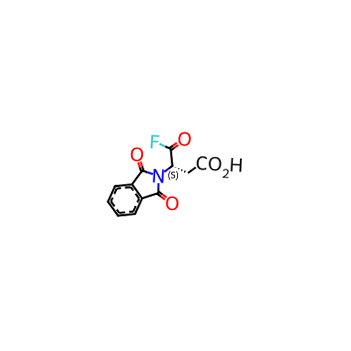 O=C(O)C[C@@H](C(=O)F)N1C(=O)c2ccccc2C1=O